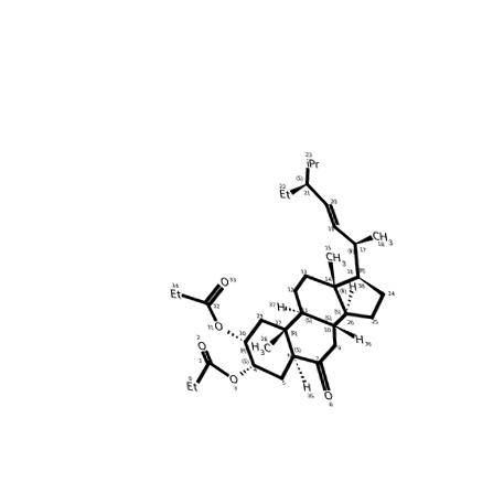 CCC(=O)O[C@H]1C[C@@H]2C(=O)C[C@@H]3[C@H](CC[C@]4(C)[C@@H]([C@H](C)C=C[C@@H](CC)C(C)C)CC[C@@H]34)[C@@]2(C)C[C@H]1OC(=O)CC